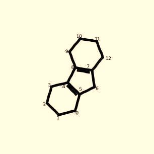 [CH]1CCCC2=C1CC1=C2CCCC1